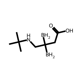 BC(B)(CNC(C)(C)C)CC(=O)O